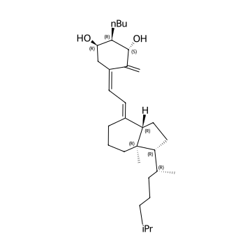 C=C1C(=CC=C2CCC[C@]3(C)[C@@H]([C@H](C)CCCC(C)C)CC[C@@H]23)C[C@@H](O)[C@@H](CCCC)[C@@H]1O